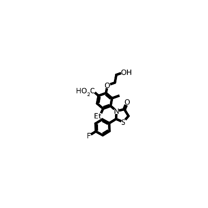 CCc1cc(C(=O)O)c(OCCO)c(C)c1N1C(=O)CSC1c1ccc(F)cc1